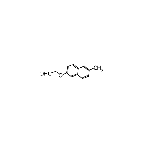 Cc1ccc2cc(OCC=O)ccc2c1